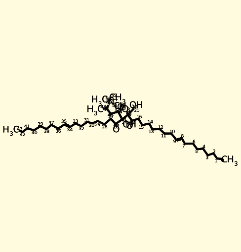 CCCCCCCCC=CCCCCCCCC(=O)C(O)(CO)C(O)(C(=O)CCCCCCCC=CCCCCCCCC)C(=O)CC(C)[N+](C)(C)C